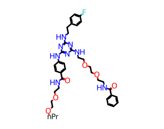 CCCOCCOCCNC(=O)c1ccc(Nc2nc(NCCOCCOCCNC(=O)c3ccccc3)nc(NCCc3ccc(F)cc3)n2)cc1